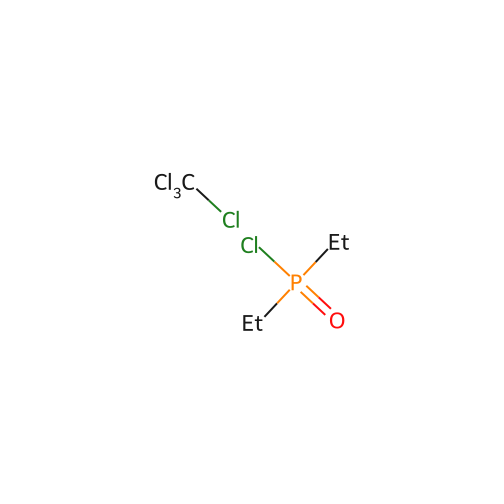 CCP(=O)(Cl)CC.ClC(Cl)(Cl)Cl